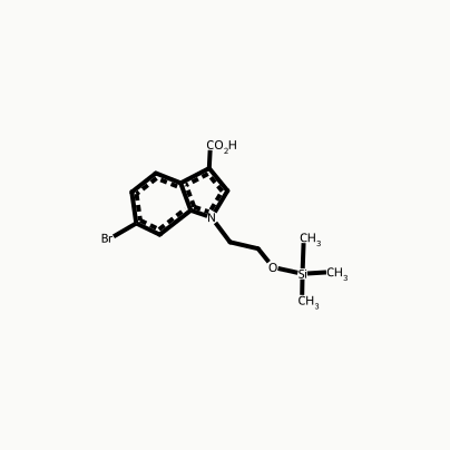 C[Si](C)(C)OCCn1cc(C(=O)O)c2ccc(Br)cc21